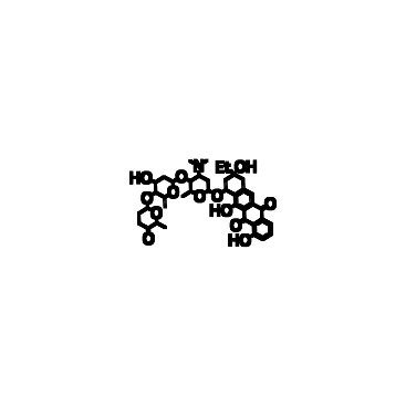 CCC1(O)Cc2cc3c(c(O)c2C(OC2CC(N(C)C)C(OC4CC(O)C(OC5CCC(=O)C(C)O5)C(C)O4)C(C)O2)C1)C(=O)c1c(O)cccc1C3=O